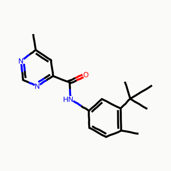 Cc1cc(C(=O)Nc2ccc(C)c(C(C)(C)C)c2)ncn1